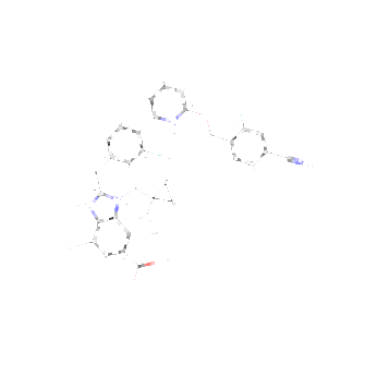 N#Cc1ccc(COc2cccc(-c3ccc(Cc4nc5c(F)cc(C(=O)O)cc5n4CC4(CF)CC4)cc3F)n2)c(F)c1